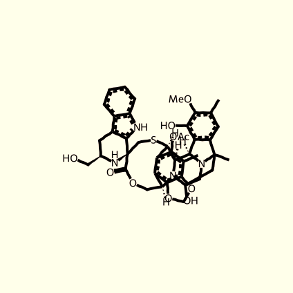 COc1c(C)cc2c(c1O)[C@@H]1[C@@H]3[C@@H]4SC[C@]5(N[C@@H](CO)Cc6c5[nH]c5ccccc65)C(=O)OC[C@@H](c5c6c(c(C)c(OC(C)=O)c54)OCO6)N3C3(O)CN1C2(C)C3